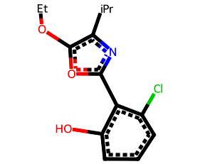 CCOc1oc(-c2c(O)cccc2Cl)nc1C(C)C